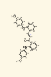 COc1ccc(Nc2ncccc2C(=O)/C=C/c2cccnc2Nc2ccc(O)cc2)cc1